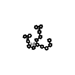 C1=Cc2c(c3ccccc3n2C2C=CC(c3cccc(-c4cccc(C5C=C(C6=CCC(C7C=CCC(c8cccc(-c9ccccc9)c8)C7)C=C6)CC(c6cccc(-c7cccc(-c8ccc(-n9c%10ccccc%10c%10ccccc%109)cc8)c7)c6)N5)c4)c3)=CC2)CC1